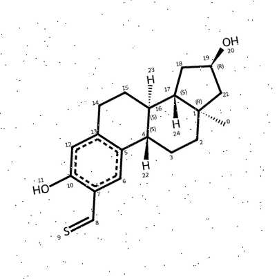 C[C@]12CC[C@@H]3c4cc(C=S)c(O)cc4CC[C@H]3[C@@H]1C[C@@H](O)C2